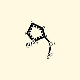 CC(=O)Oc1cccs1.[KH]